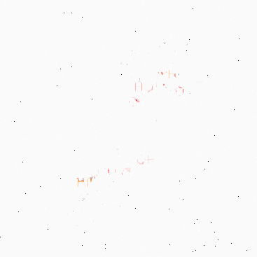 O=C(CC(CCCCC(CC(=O)O[PH](c1ccccc1)(c1ccccc1)c1ccccc1)C(=O)O)C(=O)O)O[PH](c1ccccc1)(c1ccccc1)c1ccccc1